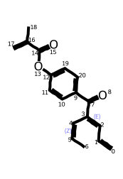 C=C/C=C(\C=C/C)C(=O)c1ccc(OC(=O)C(=C)C)cc1